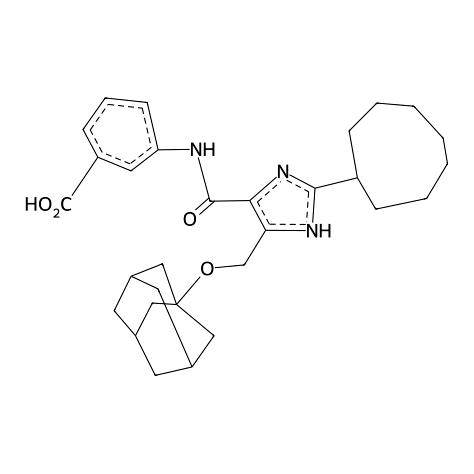 O=C(O)c1cccc(NC(=O)c2nc(C3CCCCCCC3)[nH]c2COC23CC4CC(CC(C4)C2)C3)c1